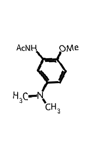 COc1ccc(N(C)C)cc1NC(C)=O